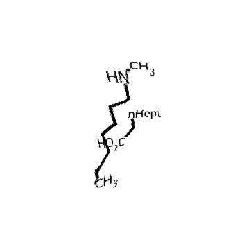 CCCCCCCCC(=O)O.CCCCCCCNC